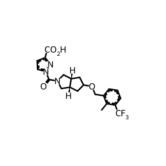 Cc1c(COC2C[C@@H]3CN(C(=O)n4ccc(C(=O)O)n4)C[C@@H]3C2)cccc1C(F)(F)F